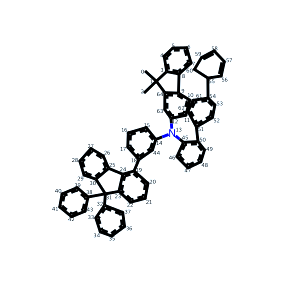 CC1(C)c2ccccc2-c2ccc(N(c3cccc(-c4cccc5c4-c4ccccc4C5(c4ccccc4)c4ccccc4)c3)c3ccccc3-c3ccc(C4C=CC=CC4)cc3)cc21